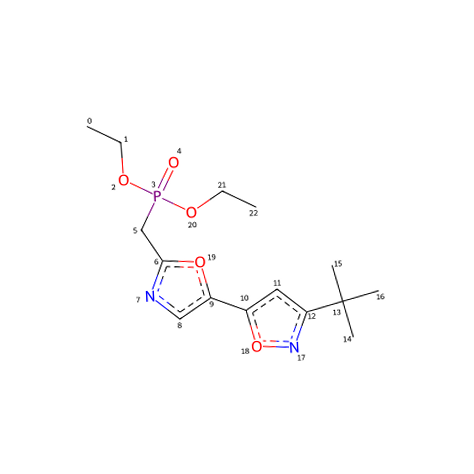 CCOP(=O)(Cc1ncc(-c2cc(C(C)(C)C)no2)o1)OCC